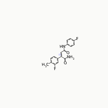 Cc1ccc(/C(=C/C(=O)Nc2ccc(F)cc2)C(N)=O)cc1F